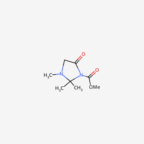 COC(=O)N1C(=O)CN(C)C1(C)C